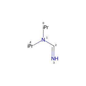 CC(C)N(C=N)C(C)C